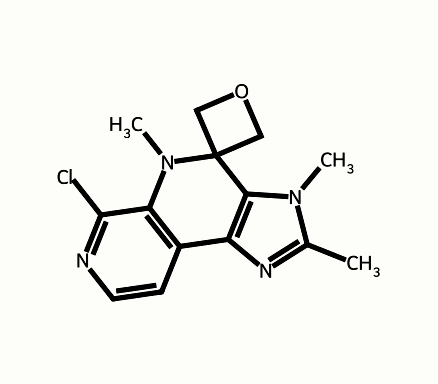 Cc1nc2c(n1C)C1(COC1)N(C)c1c-2ccnc1Cl